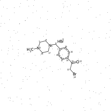 Br.CN1CCN(Cc2ccc(C(=O)CBr)cc2)CC1